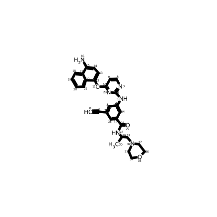 C#Cc1cc(Nc2nccc(Oc3ccc(N)c4ccccc34)n2)cc(C(=O)NC(C)CN2CCOCC2)c1